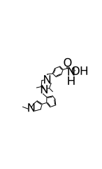 CCN1CC=C(c2ccccc2CN2C(C)CN(Cc3ccc(C(=O)NO)cc3)CC2C)CC1